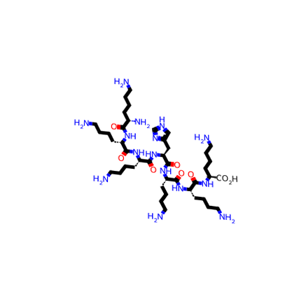 NCCCC[C@H](NC(=O)[C@H](CCCCN)NC(=O)[C@H](CCCCN)NC(=O)[C@H](Cc1c[nH]cn1)NC(=O)[C@H](CCCCN)NC(=O)[C@H](CCCCN)NC(=O)[C@@H](N)CCCCN)C(=O)O